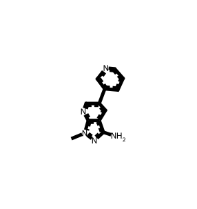 Cn1nc(N)c2cc(-c3cccnc3)cnc21